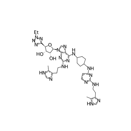 CCn1nnc([C@H]2O[C@@H](n3cnc4c(NC5CCC(Nc6ccnc(NCCc7nc[nH]c7C)n6)CC5)nc(NCCc5nc[nH]c5C)nc43)[C@H](O)[C@@H]2O)n1